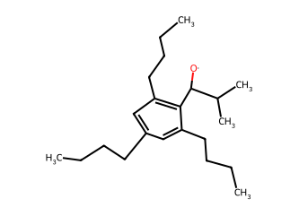 CCCCc1cc(CCCC)c(C([O])C(C)C)c(CCCC)c1